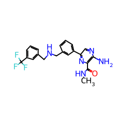 CNC(=O)c1nc(-c2cccc(CNCc3cccc(C(F)(F)F)c3)c2)cnc1N